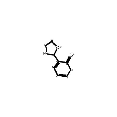 O=C1CC=C[C]=C1C1NCCO1